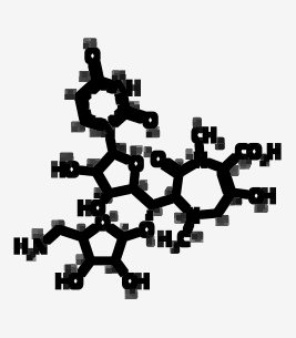 CN1C(=O)C([C@H](OC2OC(CN)C(O)C2O)C2OC(n3ccc(=O)[nH]c3=O)C(O)C2O)N(C)CC(O)=C1C(=O)O